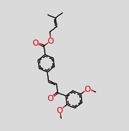 COc1ccc(OC)c(C(=O)C=Cc2ccc(C(=O)OCC=C(C)C)cc2)c1